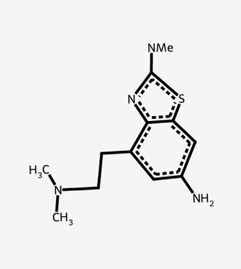 CNc1nc2c(CCN(C)C)cc(N)cc2s1